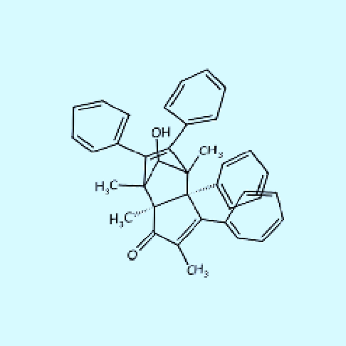 CC1=C(c2ccccc2)[C@]2(c3ccccc3)C3(C)C(c4ccccc4)=C(c4ccccc4)C(C)(C3O)[C@]2(C)C1=O